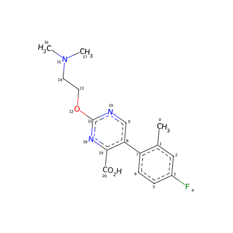 Cc1cc(F)ccc1-c1cnc(OCCN(C)C)nc1C(=O)O